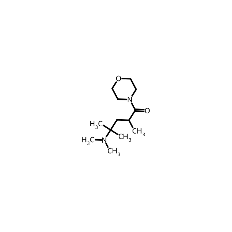 CC(CC(C)(C)N(C)C)C(=O)N1CCOCC1